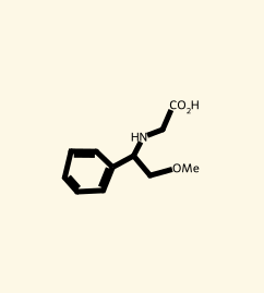 COCC(NCC(=O)O)c1ccccc1